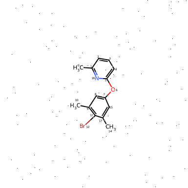 Cc1cccc(Oc2cc(C)c(Br)c(C)c2)n1